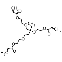 C=CC(=O)OCCOCCC(CC)(COCCOC(=O)C=C)OCCOC(=O)C=C